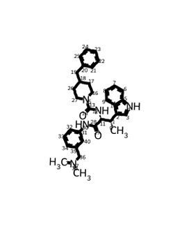 C[C@@H](c1c[nH]c2ccccc12)[C@@H](NC(=O)N1CCC(Cc2ccccc2)CC1)C(=O)Nc1cccc(CN(C)C)c1